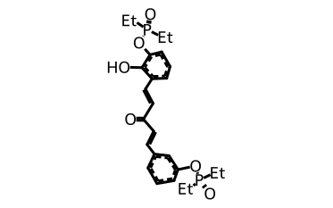 CCP(=O)(CC)Oc1cccc(/C=C/C(=O)/C=C/c2cccc(OP(=O)(CC)CC)c2O)c1